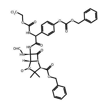 CC1(C)[C@H](C(=O)OCc2ccccc2)N2C(=O)[C@@](NC=O)(NC(=O)C(NC(=O)OCC(Cl)(Cl)Cl)c3ccc(OC(=O)OCc4ccccc4)cc3)[C@H]2[S+]1[O-]